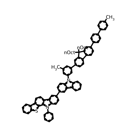 CCCCCCCCC1(CCCCCCCC)c2cc(-c3ccc(-c4ccc(C)cc4)cc3)ccc2-c2ccc(-c3cc(C)cc(-n4c5ccccc5c5cc(-c6ccc7c(c6)c6ccc8c9ccccc9sc8c6n7-c6ccccc6)ccc54)c3)cc21